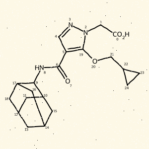 O=C(O)Cn1ncc(C(=O)NC2C3CC4CC(C3)CC2C4)c1OCC1CC1